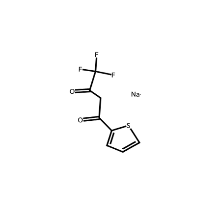 O=C(CC(=O)C(F)(F)F)c1cccs1.[Na]